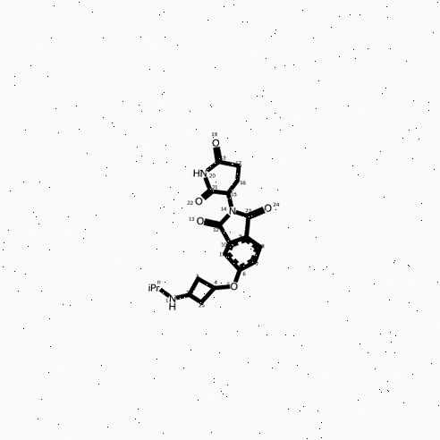 CC(C)NC1CC(Oc2ccc3c(c2)C(=O)N(C2CCC(=O)NC2=O)C3=O)C1